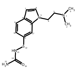 CN(C)CCn1ccc2ccc(SNC(N)=O)cc21